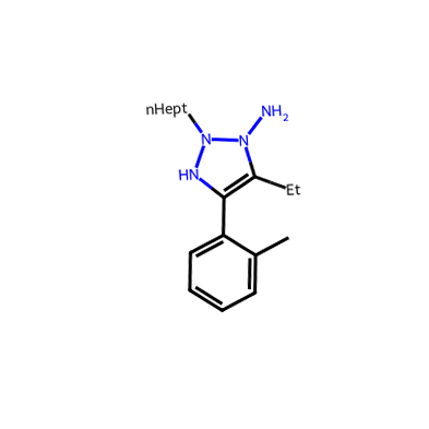 CCCCCCCN1NC(c2ccccc2C)=C(CC)N1N